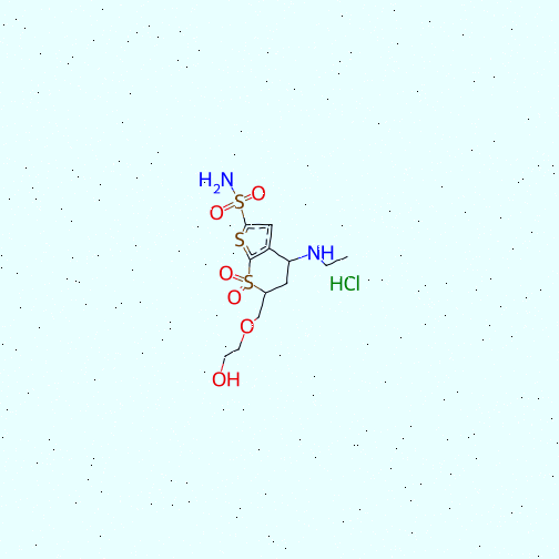 CCNC1CC(COCCO)S(=O)(=O)c2sc(S(N)(=O)=O)cc21.Cl